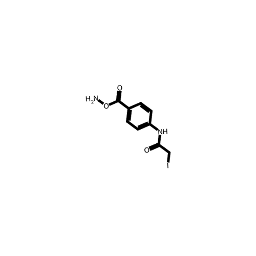 NOC(=O)c1ccc(NC(=O)CI)cc1